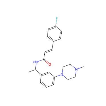 CC(NC(=O)C=Cc1ccc(F)cc1)c1cccc(N2CCN(C)CC2)c1